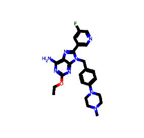 CCOc1nc(N)c2nc(-c3cncc(F)c3)n(Cc3ccc(N4CCN(C)CC4)cc3)c2n1